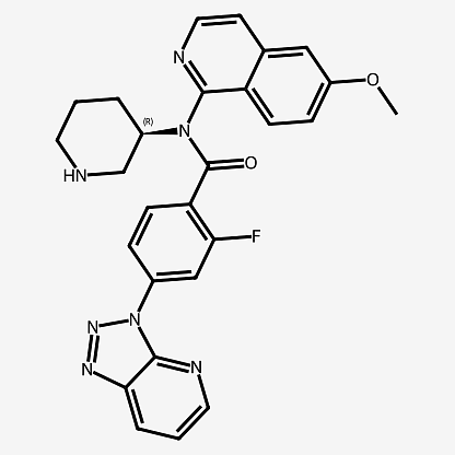 COc1ccc2c(N(C(=O)c3ccc(-n4nnc5cccnc54)cc3F)[C@@H]3CCCNC3)nccc2c1